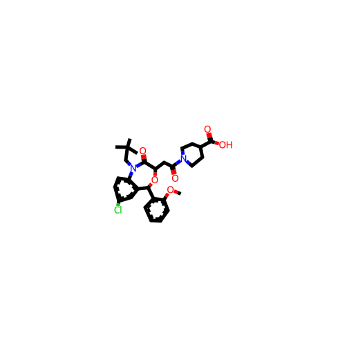 COc1ccccc1C1OC(CC(=O)N2CCC(C(=O)O)CC2)C(=O)N(CC(C)(C)C)c2ccc(Cl)cc21